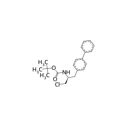 CC(C)(C)OC(=O)N[C@H](CCl)Cc1ccc(-c2ccccc2)cc1